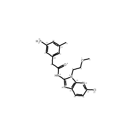 COCCn1c(NC(=O)Cc2cc(C)cc(P)c2)nc2ccc(Cl)nc21